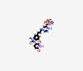 Cn1c(=O)n(C2CCC(=O)NC2=O)c2ccc(CCCN3CCN[C@H](C(=O)NS(C)(=O)=O)C3)cc21